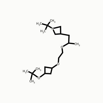 CC(CC1CN(C(C)(C)C)C1)OCCOC1CC(OC(C)(C)C)C1